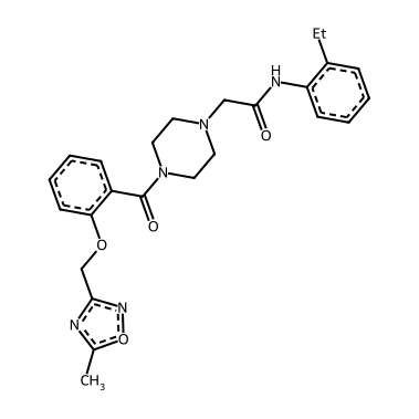 CCc1ccccc1NC(=O)CN1CCN(C(=O)c2ccccc2OCc2noc(C)n2)CC1